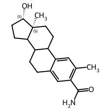 Cc1cc2c(cc1C(N)=O)CCC1C2CC[C@@]2(C)C1CC[C@@H]2O